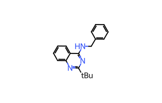 CC(C)(C)c1nc(NCc2ccccc2)c2ccccc2n1